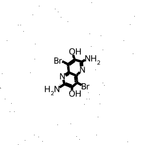 Nc1nc2c(Br)c(O)c(N)nc2c(Br)c1O